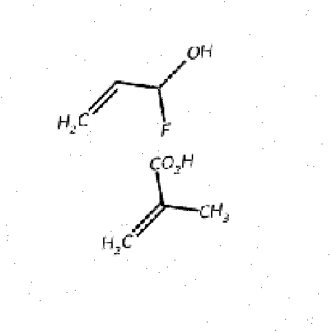 C=C(C)C(=O)O.C=CC(O)F